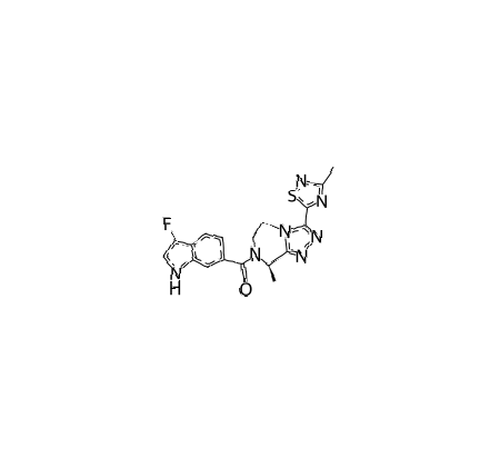 Cc1nsc(-c2nnc3n2CCN(C(=O)c2ccc4c(F)c[nH]c4c2)[C@@H]3C)n1